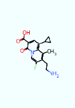 Cc1c(CCN)c(F)cn2c(=O)c(C(=O)O)cc(C3CC3)c12